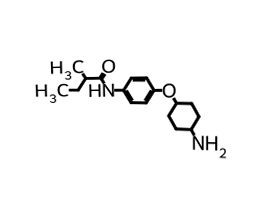 CCC(C)C(=O)Nc1ccc(OC2CCC(N)CC2)cc1